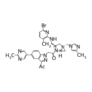 CC(=O)c1nn(CC(=O)N2[C@@H](CNc3nc(Br)ccc3C)C[C@@]3(Cn4cnc(C)c4)C[C@@H]23)c2ccc(-c3cnc(C)nc3)cc12